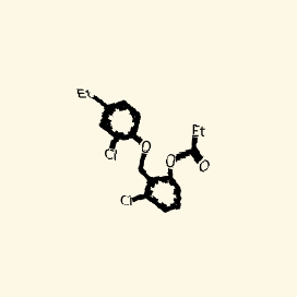 CCC(=O)Oc1cccc(Cl)c1COc1ccc(CC)cc1Cl